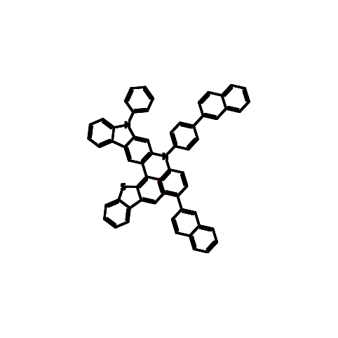 c1ccc(-n2c3ccccc3c3cc(-c4cccc5c4sc4ccccc45)c(N(c4ccc(-c5ccc6ccccc6c5)cc4)c4ccc(-c5ccc6ccccc6c5)cc4)cc32)cc1